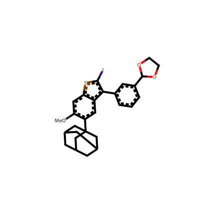 COc1cc2sc(I)c(-c3cccc(C4OCCO4)c3)c2cc1C12CC3CC(CC(C3)C1)C2